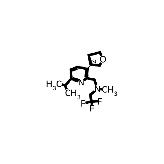 CC(C)c1ccc([C@@H]2CCOC2)c(CN(C)CC(F)(F)F)n1